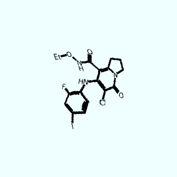 CCONC(=O)c1c(Nc2ccc(I)cc2F)c(Cl)c(=O)n2c1CCC2